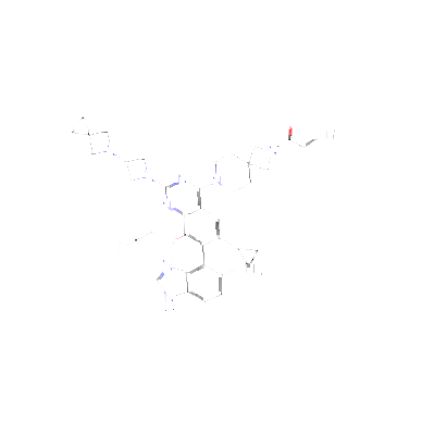 C=CC(=O)N1CC2(CCN(c3nc(N4CC(N5CC6(CC6)C5)C4)nc4c(OCC(F)(F)F)c(-c5c(C)ccc6[nH]cnc56)c(C5CC5)cc34)CC2)C1